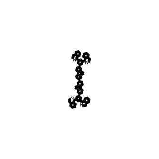 CC1(C)c2cc(-c3cc(-c4nccc5ccccc45)cc(-c4nccc5ccccc45)c3)ccc2-c2ccc(-c3ccc4c(c3)C(C)(C)c3cc(-c5cc(-c6nccc7ccccc67)cc(-c6nccc7ccccc67)c5)ccc3-4)cc21